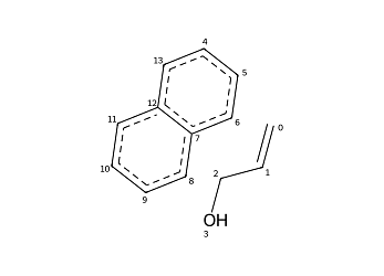 C=CCO.c1ccc2ccccc2c1